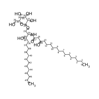 CCCCCCCCCCCCCC[C@@H](O)CC(=O)NC(CO[C@H]1OC(CO)[C@H](O)C(O)C1O)[C@H](O)CCCCCCCCCCCCC